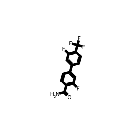 NC(=O)c1ccc(-c2ccc(C(F)(F)F)c(F)c2)cc1F